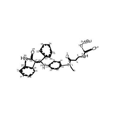 CN(C(=O)CCNC(=O)OC(C)(C)C)c1ccc(NC(=C2C(=O)Nc3ccccc32)c2ccccc2)cc1